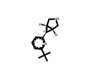 CC(C)(C)c1cccc([C@H]2[C@@H]3CNC[C@@H]32)n1